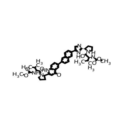 COC(=O)N[C@H](C(=O)N1CCCC1c1cc(=O)c2cc(-c3ccc4cc(-c5cnc([C@@H]6CCCN6C(=O)[C@@H](NC(=O)OC)C(C)C)[nH]5)ccc4c3)ccc2[nH]1)C(C)C